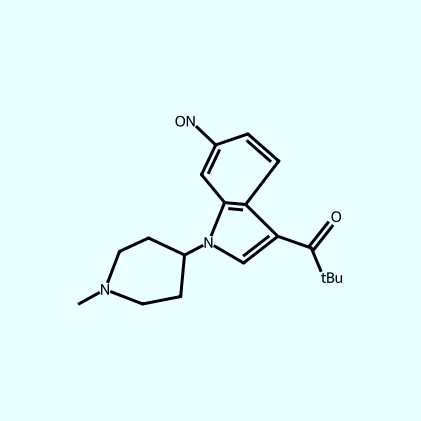 CN1CCC(n2cc(C(=O)C(C)(C)C)c3ccc(N=O)cc32)CC1